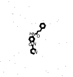 O=C(CCc1ccccc1)Nc1ccc2oc(-c3cccnc3)nc2c1